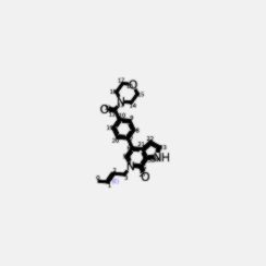 C/C=C/Cn1cc(-c2ccc(C(=O)N3CCOCC3)cc2)c2cc[nH]c2c1=O